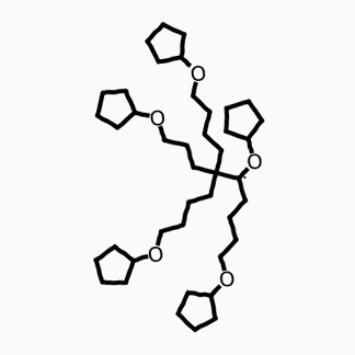 C(CC[C](OC1CCCC1)C(CCCCOC1CCCC1)(CCCCOC1CCCC1)CCCOC1CCCC1)COC1CCCC1